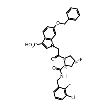 O=C(O)c1cn(CC(=O)N2C[C@H](F)C[C@H]2C(=O)NCc2cccc(Cl)c2F)c2cc(OCc3ccccc3)ccc12